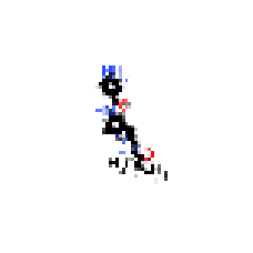 CC(C)(C)C(=O)/C=C/c1cc2cc(NC(=O)c3ccc(N)cc3)ccc2[nH]1